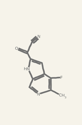 Cc1ncc2[nH]c(C(=O)C#N)cc2c1F